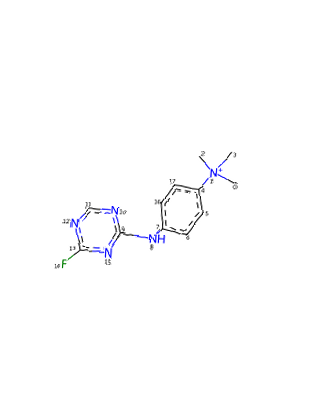 C[N+](C)(C)c1ccc(Nc2n[c]nc(F)n2)cc1